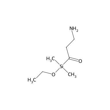 CCO[Si](C)(C)C(=O)CCN